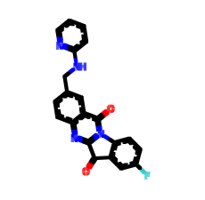 O=C1c2cc(F)ccc2-n2c1nc1ccc(CNc3ccccn3)cc1c2=O